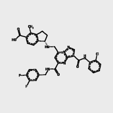 Cc1c(C(=O)O)ccc2c1CC[C@@H]2NCc1cc(C(=O)NCc2ccc(F)c(F)c2)nc2c(C(=O)Nc3ccccc3Cl)cnn12